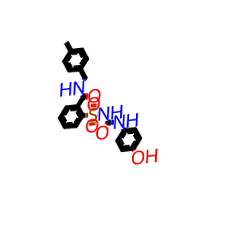 Cc1ccc(CNC(=O)c2ccccc2S(=O)(=O)NC(=O)Nc2ccc(O)cc2)cc1